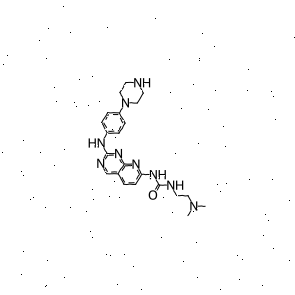 CN(C)CCNC(=O)Nc1ccc2cnc(Nc3ccc(N4CCNCC4)cc3)nc2n1